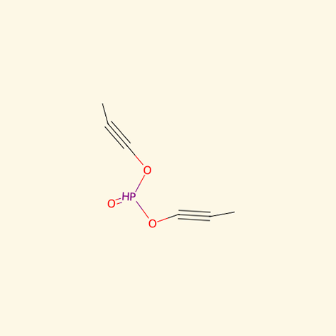 CC#CO[PH](=O)OC#CC